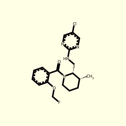 C[C@@H]1CCCN(C(=O)c2ccccc2OCF)[C@@H]1CNc1ncc(Cl)cn1